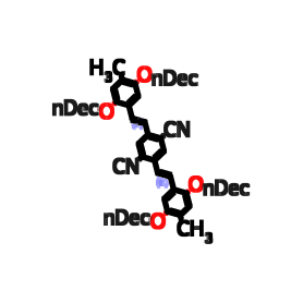 [C-]#[N+]c1cc(/C=C/c2cc(OCCCCCCCCCC)c(C)cc2OCCCCCCCCCC)c(C#N)cc1/C=C/c1cc(OCCCCCCCCCC)c(C)cc1OCCCCCCCCCC